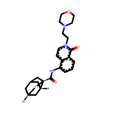 O=C(Nc1cccc2c(=O)n(CCN3CCOCC3)ccc12)[C@@]12CC3C[C@@H](C[C@@H]1C3)C2